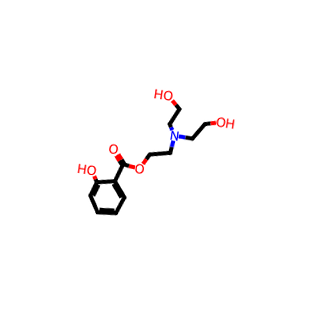 O=C(OCCN(CCO)CCO)c1ccccc1O